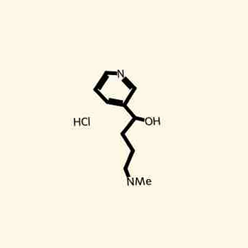 CNCCCC(O)c1cccnc1.Cl